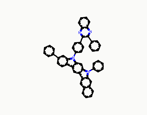 c1ccc(-c2ccc3c4cc5c6cc7ccccc7cc6n(-c6ccccc6)c5cc4n(-c4ccc(-c5nc6ccccc6nc5-c5ccccc5)cc4)c3c2)cc1